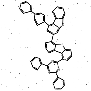 c1ccc(-c2ccc(-c3cc(-c4cccc5c4sc4cccc(-c6nc(-c7ccccc7)nc(-c7ccccc7)n6)c45)cc4sc5ccccc5c34)cc2)cc1